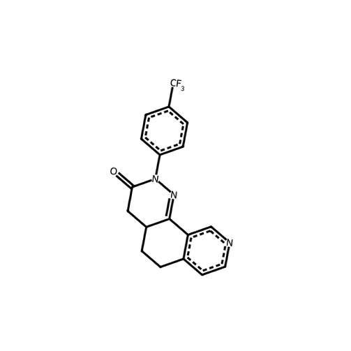 O=C1CC2CCc3ccncc3C2=NN1c1ccc(C(F)(F)F)cc1